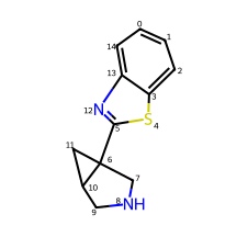 c1ccc2sc(C34CNCC3C4)nc2c1